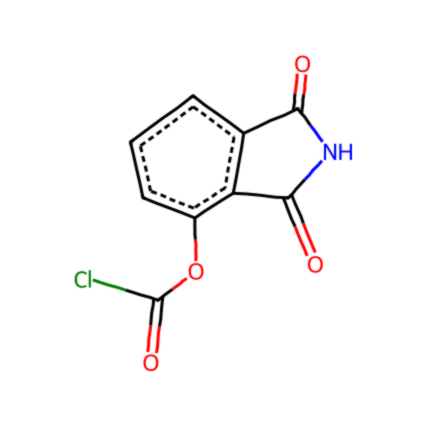 O=C(Cl)Oc1cccc2c1C(=O)NC2=O